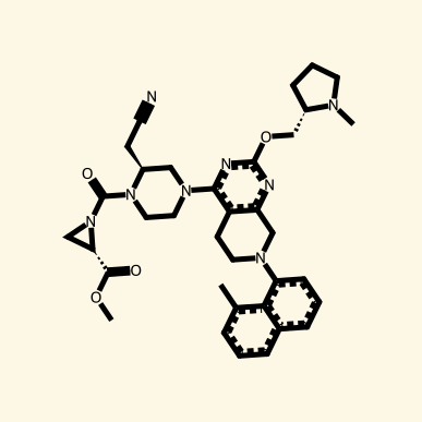 COC(=O)[C@@H]1CN1C(=O)N1CCN(c2nc(OC[C@@H]3CCCN3C)nc3c2CCN(c2cccc4cccc(C)c24)C3)C[C@@H]1CC#N